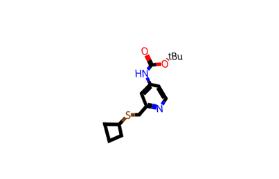 CC(C)(C)OC(=O)Nc1ccnc(CSC2CCC2)c1